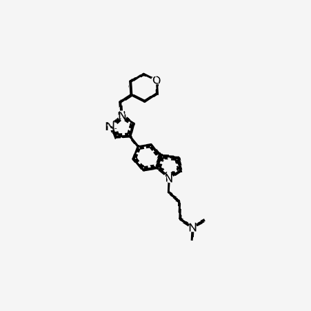 CN(C)CCCn1ccc2cc(-c3cnn(CC4CCOCC4)c3)ccc21